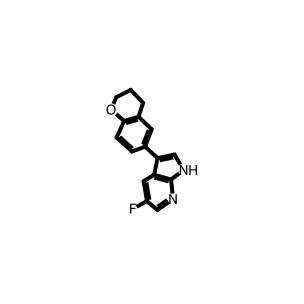 Fc1cnc2[nH]cc(-c3ccc4c(c3)CCCO4)c2c1